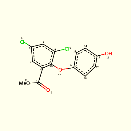 COC(=O)c1cc(Cl)cc(Cl)c1Oc1ccc(O)cc1